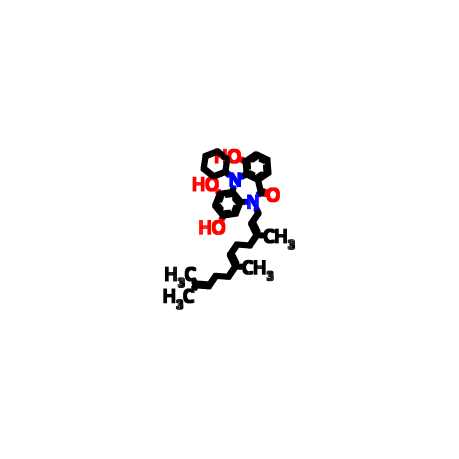 CC(C)=CCC/C(C)=C/CC/C(C)=C/CN1C(=O)c2cccc(O)c2N(C2CCCCC2)c2c(O)cc(O)cc21